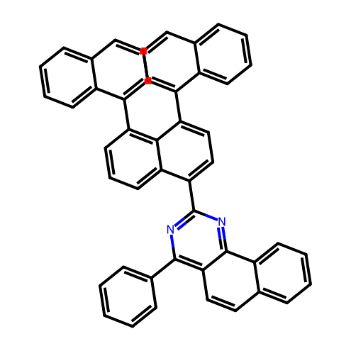 c1ccc(-c2nc(-c3ccc(-c4cccc5ccccc45)c4c(-c5cccc6ccccc56)cccc34)nc3c2ccc2ccccc23)cc1